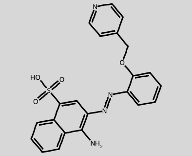 Nc1c(N=Nc2ccccc2OCc2ccncc2)cc(S(=O)(=O)O)c2ccccc12